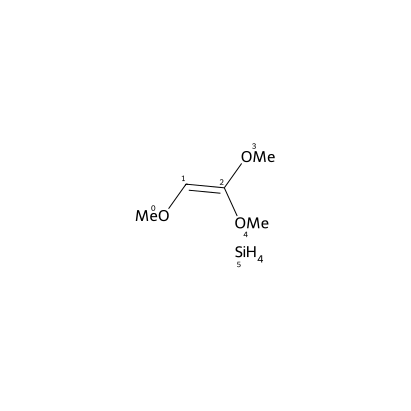 COC=C(OC)OC.[SiH4]